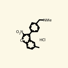 CNCc1ccc(-c2c([N+](=O)[O-])oc3ccc(C)cc23)cc1.Cl